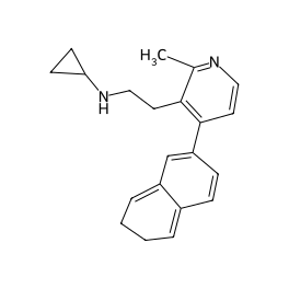 Cc1nccc(-c2ccc3c(c2)=CCCC=3)c1CCNC1CC1